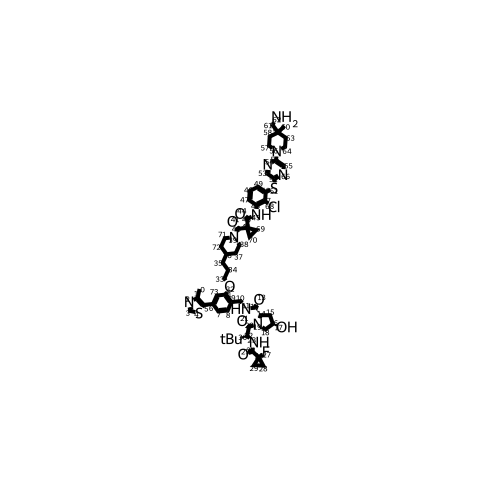 Cc1ncsc1-c1ccc(CNC(=O)[C@@H]2C[C@@H](O)CN2C(=O)[C@@H](NC(=O)C2(F)CC2)C(C)(C)C)c(OCCCC2CCN(C(=O)C3(C(=O)Nc4cccc(Sc5cnc(N6CCC(C)(CN)CC6)cn5)c4Cl)CC3)CC2)c1